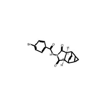 O=C(NN1C(=O)[C@@H]2C3C=CC(C4CC43)[C@@H]2C1=O)c1ccc(Br)cc1